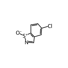 [O-][s+]1ncc2cc(Cl)ccc21